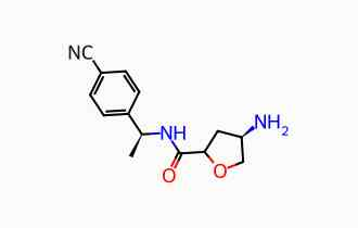 C[C@H](NC(=O)C1C[C@@H](N)CO1)c1ccc(C#N)cc1